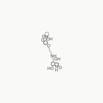 O=C(O)C(O)(c1cccc(OCCCCCNC[C@H](O)c2ccc(O)c3[nH]c(=O)ccc23)c1)C1CCCCC1